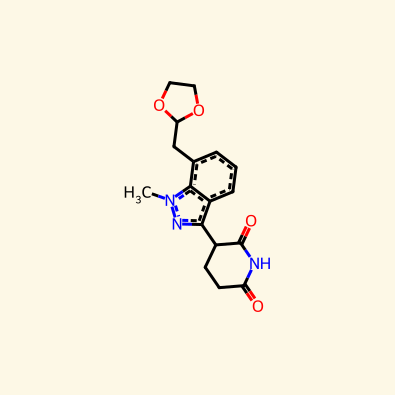 Cn1nc(C2CCC(=O)NC2=O)c2cccc(CC3OCCO3)c21